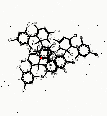 O=P(OC1C(Cl)=CC(Cl)=C(c2c(Br)cc(Br)cc2Br)C1(Cl)c1c(Br)cc(Br)cc1Br)(OC1C(Cl)=CC(Cl)=C(c2c(Br)cc(Br)cc2Br)C1(Cl)c1c(Br)cc(Br)cc1Br)OC1C(Cl)=CC(Cl)=C(c2c(Br)cc(Br)cc2Br)C1(Cl)c1c(Br)cc(Br)cc1Br